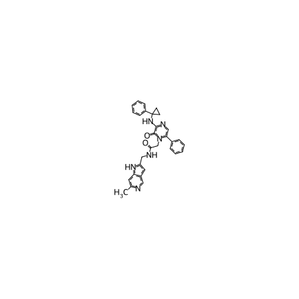 Cc1cc2[nH]c(CNC(=O)Cn3c(-c4ccccc4)cnc(NC4(c5ccccc5)CC4)c3=O)cc2cn1